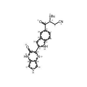 CCCCN(CC#N)C(=O)c1ccc2[nH]c(-c3nc4cscc4[nH]c3=O)cc2c1